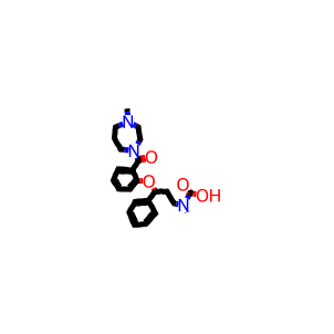 CN1CCCN(C(=O)c2ccccc2OC(CCN(C)C(=O)O)c2ccccc2)CC1